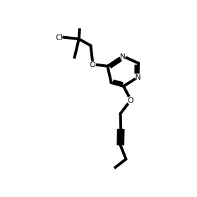 CCC#CCOc1cc(OCC(C)(C)Cl)ncn1